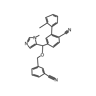 Cc1ccccc1-c1cc(C(OCc2cccc(C#N)c2)c2cncn2C)ccc1C#N